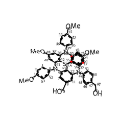 COc1ccc(N2c3cc(CO)cc4c3[Si]3(c5ccccc5)c5c(cc(OC)cc5N(c5ccc(OC)cc5)c5cc(OC)cc2c53)N4c2ccc(CO)cc2)cc1